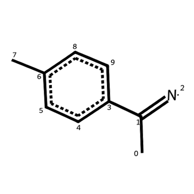 CC(=[N])c1ccc(C)cc1